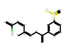 C#[SH](S)c1cccc(C(=C)C/C=C(C)\C=C/C(=C)Cl)c1